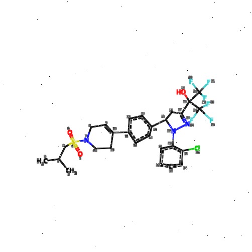 CC(C)CS(=O)(=O)N1CC=C(c2ccc(C3CC(C(O)(C(F)(F)F)C(F)(F)F)=NN3c3ccccc3Cl)cc2)CC1